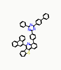 c1ccc(-c2ccc(-c3nc(-c4ccccc4)nc(-c4ccc(-c5cccc6c5nc(-c5cc7ccccc7c7ccccc57)c5c7ccccc7sc65)cc4)n3)cc2)cc1